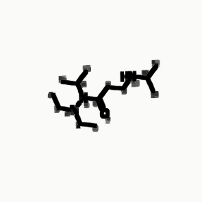 CCN(CC)N(C(=O)CCNC(C)C)C(C)C